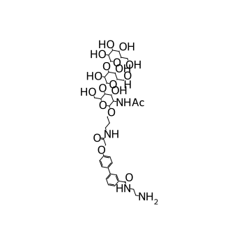 CC(=O)NC1C(OCCCNC(=O)COc2ccc(-c3cccc(C(=O)NCCN)c3)cc2)OC(CO)C(OC2OC(CO)C(O)C(OC3OC(CO)C(O)C(O)C3O)C2O)C1O